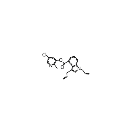 C=CCc1cn(CC=C)c2cccc(C(=O)Oc3cc(Cl)cnc3C)c12